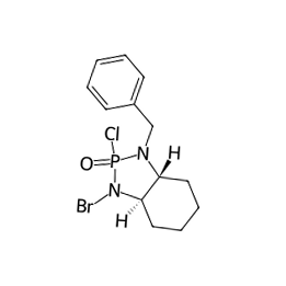 O=P1(Cl)N(Br)[C@@H]2CCCC[C@H]2N1Cc1ccccc1